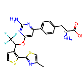 Cc1csc(-c2sccc2C(Oc2cc(-c3ccc(C[C@H](N)C(=O)O)cc3)nc(N)n2)C(F)(F)F)n1